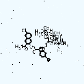 CC(C)(C)OP(=O)(O[C@H](CCn1cc(C(=O)COc2cc3ccc(Cl)cc3cc2C(N)=O)c2ccc(C3CC3)cc21)CO[Si](C)(C)C(C)(C)C)OC(C)(C)C